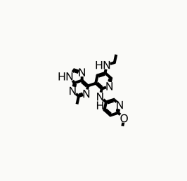 CCNc1cnc(Nc2ccc(OC)nc2)c(-c2nc(C)nc3[nH]cnc23)c1